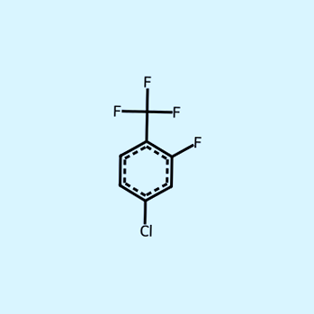 Fc1cc(Cl)ccc1C(F)(F)F